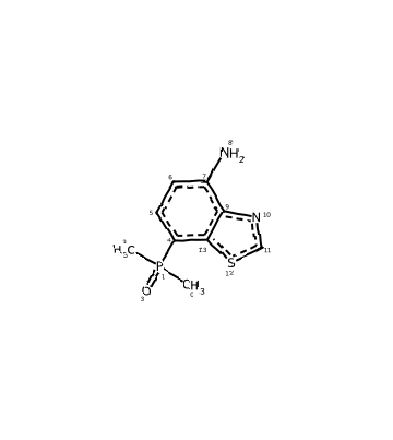 CP(C)(=O)c1ccc(N)c2ncsc12